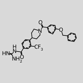 N=C(N)NC(=O)c1ccc(C2CCN(C(=O)c3ccc(OCc4ccccc4)cc3)CC2)c(C(F)(F)F)c1